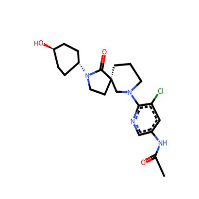 CC(=O)Nc1cnc(N2CCC[C@@]3(CCN([C@H]4CC[C@H](O)CC4)C3=O)C2)c(Cl)c1